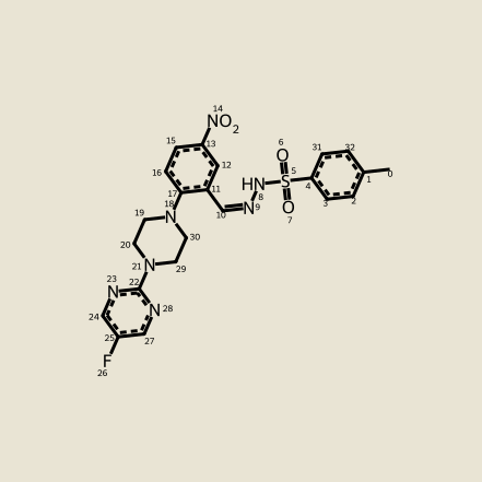 Cc1ccc(S(=O)(=O)N/N=C\c2cc([N+](=O)[O-])ccc2N2CCN(c3ncc(F)cn3)CC2)cc1